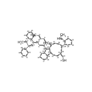 C=N\C(=N/C(=N\C=C(/C=C\C=C\C)n1c2ccccc2c2cc/c(=C\S)cc(-c3ccccc3NC)ccc(=C)c21)c1ccccc1)c1ccccc1